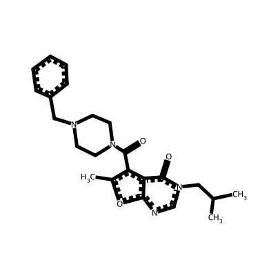 Cc1oc2ncn(CC(C)C)c(=O)c2c1C(=O)N1CCN(Cc2ccccc2)CC1